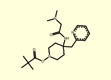 CN(C)CC(=O)NC1(Cc2ccccn2)CCN(OC(=O)C(C)(C)C)CC1